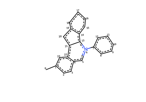 Cc1ccc2cn(-c3ccccc3)c3c4ccccc4cc-3c2c1